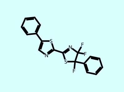 FC1(F)N=C(c2ncc(-c3ccccc3)s2)SC1(F)c1ccccc1